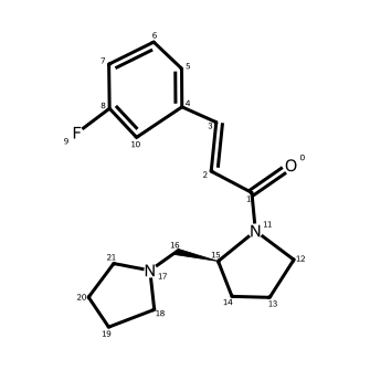 O=C(/C=C/c1cccc(F)c1)N1CCC[C@H]1CN1CCCC1